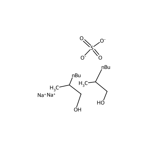 CCCCC(C)CO.CCCCC(C)CO.O=S(=O)([O-])[O-].[Na+].[Na+]